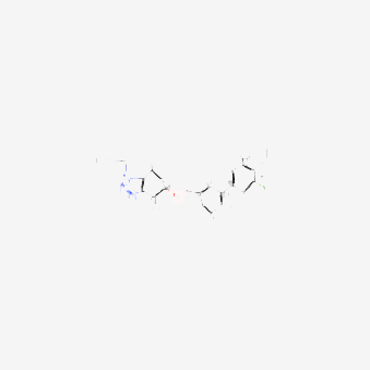 CC(C)(C)Cn1nnc2c(Br)c(OCc3cccc(-c4cc(F)cc(C(=O)O)c4)c3)ccc21